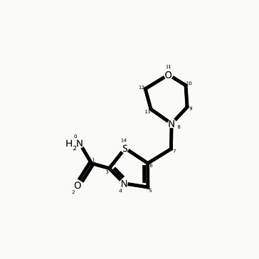 NC(=O)c1ncc(CN2CCOCC2)s1